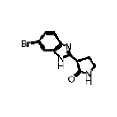 O=C1NCCC1c1nc2ccc(Br)cc2[nH]1